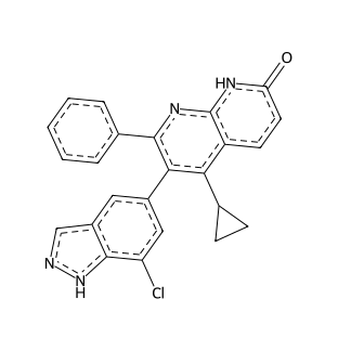 O=c1ccc2c(C3CC3)c(-c3cc(Cl)c4[nH]ncc4c3)c(-c3ccccc3)nc2[nH]1